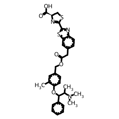 Cc1cc(COC(=O)Cc2ccc3nc(C4=N[C@@H](C(=O)O)CS4)sc3c2)ccc1OC(c1ccccc1)C(C)N(C)C